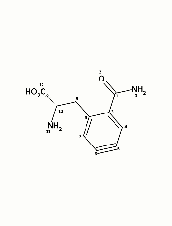 NC(=O)c1cc#ccc1C[C@H](N)C(=O)O